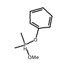 CO[PH](C)(C)Oc1ccccc1